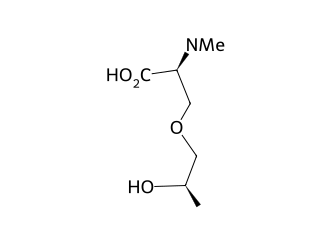 CN[C@@H](COC[C@@H](C)O)C(=O)O